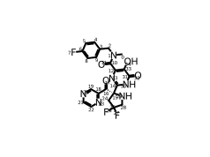 CN(Cc1ccc(F)cc1)C(=O)c1nc([C@]2(C(=O)c3cnccn3)CC(F)(F)CN2)[nH]c(=O)c1O